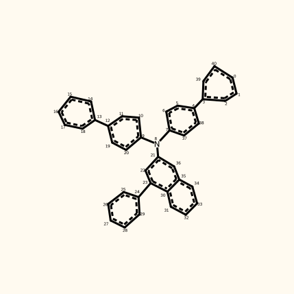 c1ccc(-c2ccc(N(c3ccc(-c4ccccc4)cc3)c3cc(-c4ccccc4)c4ccccc4c3)cc2)cc1